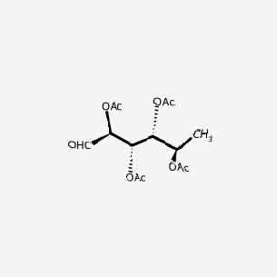 CC(=O)O[C@@H]([C@H](OC(C)=O)[C@@H](C=O)OC(C)=O)[C@@H](C)OC(C)=O